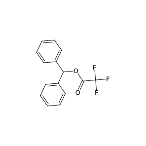 O=C(OC(c1ccccc1)c1ccccc1)C(F)(F)F